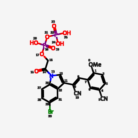 COc1ccc(C#N)cc1/C=C(\C#N)c1cn(C(=O)COP(=O)(O)OP(=O)(O)O)c2ccc(Br)cc12